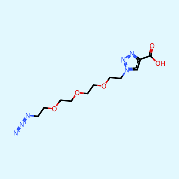 [N-]=[N+]=NCCOCCOCCOCCn1cc(C(=O)O)nn1